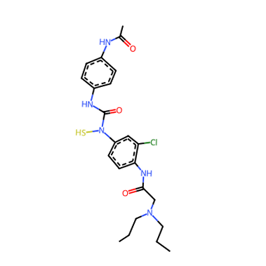 CCCN(CCC)CC(=O)Nc1ccc(N(S)C(=O)Nc2ccc(NC(C)=O)cc2)cc1Cl